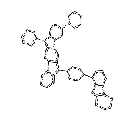 c1ccc(-c2ccc3c(c2)c2cc4c(cc2n3-c2ccccc2)c2ccccc2n4-c2ccc(-c3cccc4c3oc3ccccc34)cc2)cc1